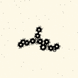 CC1(N(c2ccc(-c3ccccc3)cc2)c2ccc(-c3ccc4c(ccc5ccccc54)c3)cc2)C=CC=C(C2=CCC=Cc3c2c2ccccc2n3-c2ccc3oc4ccccc4c3c2)C1